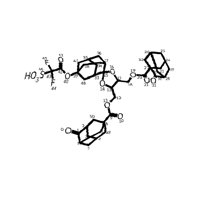 O=C1C2CC3CC1CC(C(=O)OCC1OC4(OC1COC(=O)C15CC6CC(CC(C6)C1=O)C5)C1CC5CC4CC(OC(=O)C(F)(F)S(=O)(=O)O)(C5)C1)(C3)C2